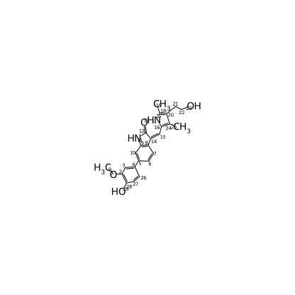 COc1cc(-c2ccc3c(c2)NC(=O)C3=Cc2[nH]c(C)c(CCO)c2C)ccc1O